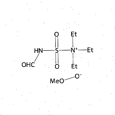 CC[N+](CC)(CC)S(=O)(=O)NC=O.CO[O-]